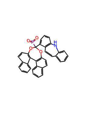 O=P(=O)C1(c2cccc3c2C=Cc2ccccc2N3)Oc2ccc3ccccc3c2-c2c(ccc3ccccc23)O1